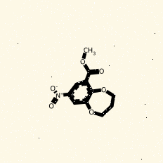 COC(=O)c1cc([N+](=O)[O-])cc2c1OCCCO2